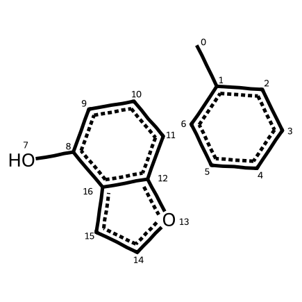 Cc1ccccc1.Oc1cccc2occc12